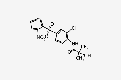 CC(O)(C(=O)Nc1ccc(S(=O)(=O)c2ccccc2[N+](=O)[O-])cc1Cl)C(F)(F)F